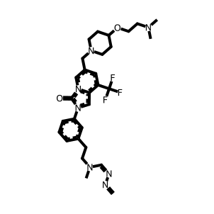 C=N/N=C\N(C)CCc1cccc(-n2cc3c(C(F)(F)F)cc(CN4CCC(OCCN(C)C)CC4)cn3c2=O)c1